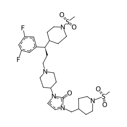 CS(=O)(=O)N1CCC(Cn2ccn(C3CCN(CC[C@@H](c4cc(F)cc(F)c4)C4CCN(S(C)(=O)=O)CC4)CC3)c2=O)CC1